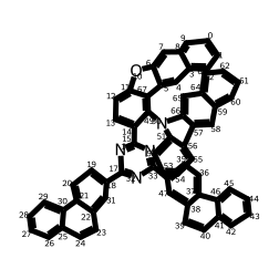 c1ccc2cc3c(cc2c1)oc1ccc(-c2nc(-c4ccc5c(ccc6ccccc65)c4)nc(-c4ccc5c(ccc6ccccc65)c4)n2)c(-n2c4ccccc4c4cc5ccccc5cc42)c13